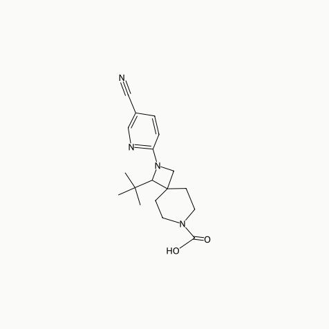 CC(C)(C)C1N(c2ccc(C#N)cn2)CC12CCN(C(=O)O)CC2